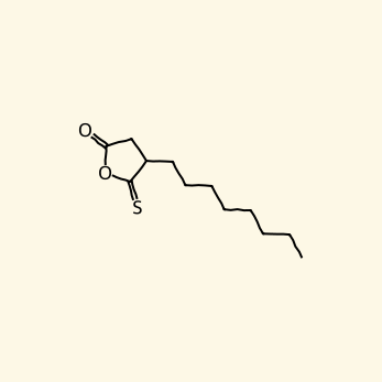 CCCCCCCCC1CC(=O)OC1=S